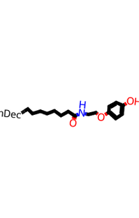 CCCCCCCCCCCCCCCCCC(=O)NCCOc1ccc(O)cc1